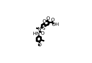 COc1ccc(NC(=O)N(C)c2cc3oc(=O)c(C(=O)O)cc3s2)cc1C